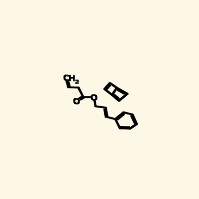 C=CCC(=O)OCC=Cc1ccccc1.c1cc2ccc1-2